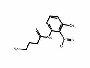 CCCCC(=O)Nc1nccc(C)c1[N+](=O)[O-]